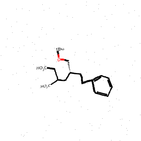 CC(C)(C)OC[C@H](CCc1ccccc1)CC(CC(=O)O)C(=O)O